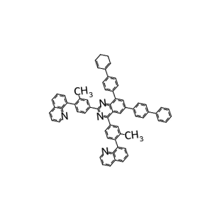 Cc1cc(-c2nc(-c3ccc(-c4cccc5cccnc45)c(C)c3)c3cc(-c4ccc(-c5ccccc5)cc4)cc(-c4ccc(C5=CCCC=C5)cc4)c3n2)ccc1-c1cccc2cccnc12